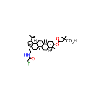 C=C(C)[C@@H]1CC[C@]2(CCNC(=O)CF)CC[C@]3(C)[C@H](CC[C@@H]4[C@@]5(C)CC[C@H](OC(=O)CC(C)(C)C(=O)O)C(C)(C)[C@@H]5CC[C@]43C)[C@@H]12